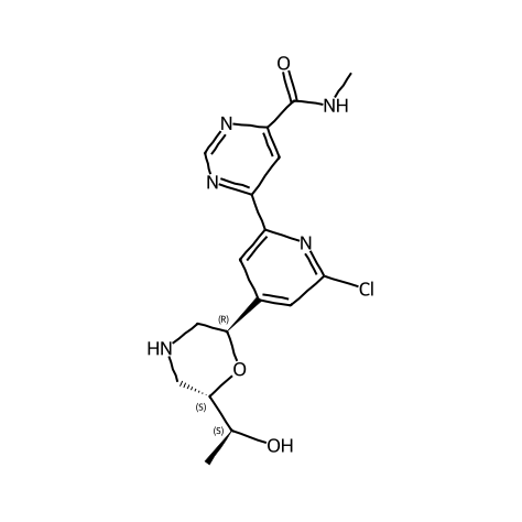 CNC(=O)c1cc(-c2cc([C@@H]3CNC[C@@H]([C@H](C)O)O3)cc(Cl)n2)ncn1